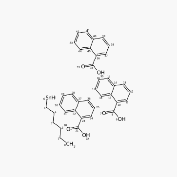 CCCCC[CH2][SnH].O=C(O)c1cccc2ccccc12.O=C(O)c1cccc2ccccc12.O=C(O)c1cccc2ccccc12